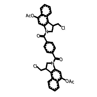 CC(=O)Oc1cc2c(c3ccccc13)C(CCl)CN2C(=O)c1ccc(C(=O)N2CC(CCl)c3c2cc(OC(C)=O)c2ccccc32)cc1